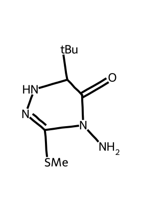 CSC1=NNC(C(C)(C)C)C(=O)N1N